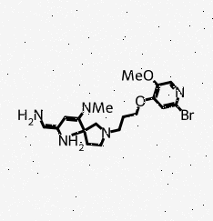 CN/C(=C/C(N)=C\N)C1(C)CCN(CCCOc2cc(Br)ncc2OC)C1